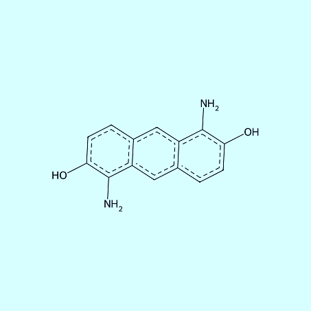 Nc1c(O)ccc2cc3c(N)c(O)ccc3cc12